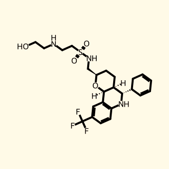 O=S(=O)(CCNCCO)NC[C@H]1CC[C@@H]2[C@H](O1)c1cc(C(F)(F)F)ccc1N[C@H]2C1C=CC=CC1